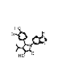 CC(C)C1=C(O)C(=O)N(c2ccc3[nH]cnc3c2)C1c1ccc(O)c(Br)c1